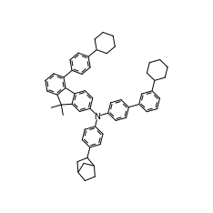 CC1(C)c2cc(N(c3ccc(-c4cccc(C5CCCCC5)c4)cc3)c3ccc(C4CC5CCC4C5)cc3)ccc2-c2c(-c3ccc(C4CCCCC4)cc3)cccc21